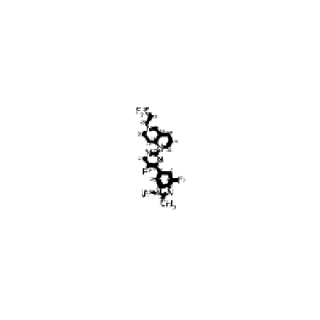 Cc1nc2c(F)cc(-c3nc(N4C=CC=C5CN(CCC(F)(F)F)CCC54)ncc3F)cc2n1C(C)C